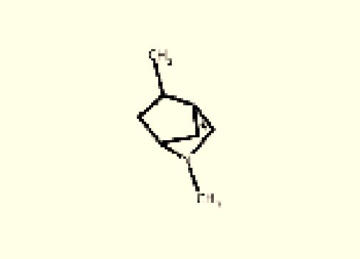 CC1CC2CC1=CN2C